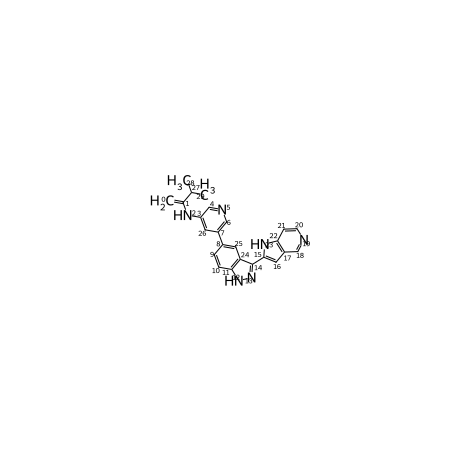 C=C(Nc1cncc(-c2ccc3[nH]nc(-c4cc5cnccc5[nH]4)c3c2)c1)C(C)C